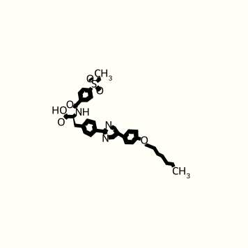 CCCCCCCOc1ccc(-c2cnc(-c3ccc(C[C@H](NC(=O)c4ccc(S(=O)(=O)CC)cc4)C(=O)O)cc3)nc2)cc1